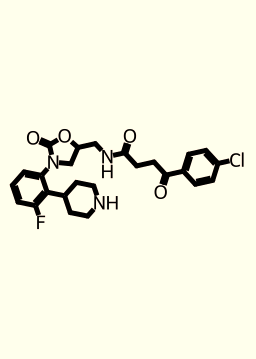 O=C(CCC(=O)c1ccc(Cl)cc1)NCC1CN(c2cccc(F)c2C2CCNCC2)C(=O)O1